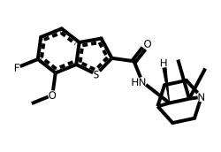 COc1c(F)ccc2cc(C(=O)N[C@H]3C4CCN(CC4)C3(C)C)sc12